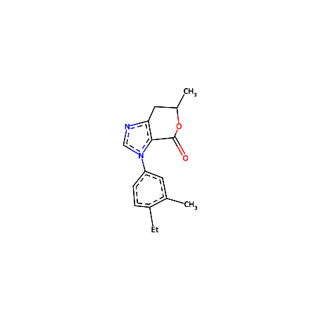 CCc1ccc(-n2cnc3c2C(=O)OC(C)C3)cc1C